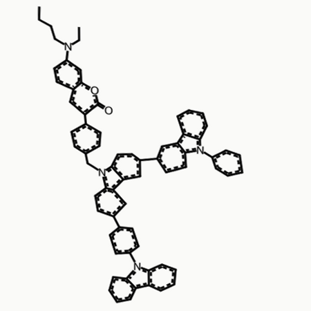 CCCCN(CC)c1ccc2cc(-c3ccc(Cn4c5ccc(-c6ccc(-n7c8ccccc8c8ccccc87)cc6)cc5c5cc(-c6ccc7c(c6)c6ccccc6n7-c6ccccc6)ccc54)cc3)c(=O)oc2c1